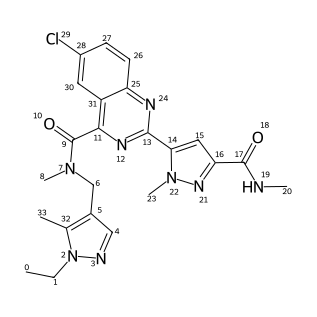 CCn1ncc(CN(C)C(=O)c2nc(-c3cc(C(=O)NC)nn3C)nc3ccc(Cl)cc23)c1C